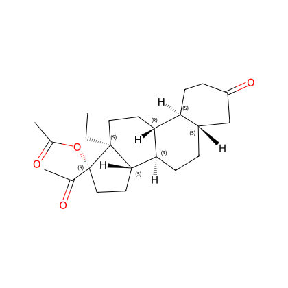 CC[C@]12CC[C@H]3[C@@H](CC[C@H]4CC(=O)CC[C@@H]43)[C@@H]1CC[C@@]2(OC(C)=O)C(C)=O